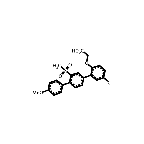 COc1ccc(-c2ccc(-c3cc(Cl)ccc3OCC(=O)O)cc2S(C)(=O)=O)cc1